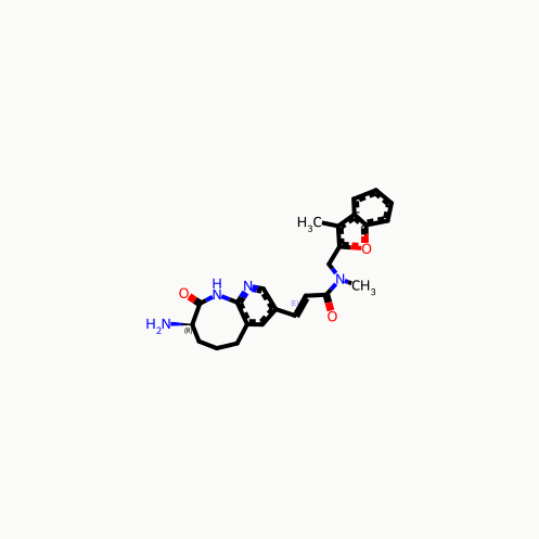 Cc1c(CN(C)C(=O)/C=C/c2cnc3c(c2)CCC[C@@H](N)C(=O)N3)oc2ccccc12